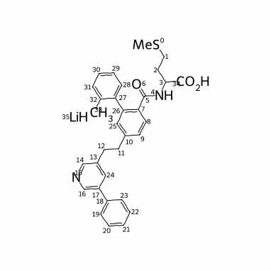 CSCCC(NC(=O)c1ccc(CCc2cncc(-c3ccccc3)c2)cc1-c1ccccc1C)C(=O)O.[LiH]